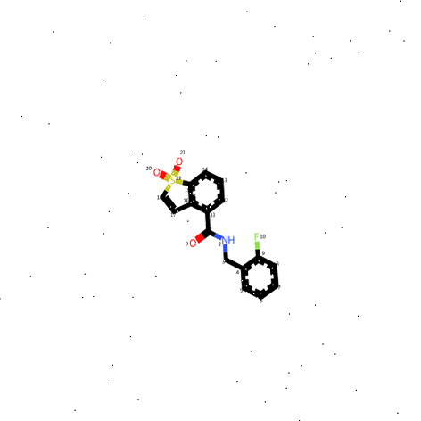 O=C(NCc1ccccc1F)c1cccc2c1C=CS2(=O)=O